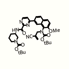 C=C(C#N)CN(C(=O)OC(C)(C)C)c1c(OC)ccc2ccc(-c3ccnc(C(=O)N[C@H]4CCCN(C(=O)OC(C)(C)C)C4)n3)cc12